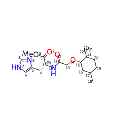 COC(=O)[C@@H](Cc1c[nH]cn1)NC(=O)COC1CC(C)CCC1C(C)C